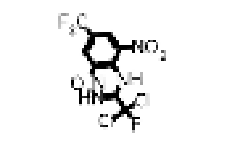 N=C(Nc1c([N+](=O)[O-])cc(C(F)(F)F)cc1[N+](=O)[O-])C(F)(Cl)Cl